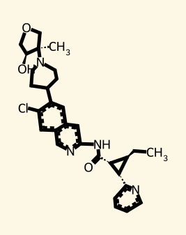 CC[C@@H]1[C@@H](C(=O)Nc2cc3cc(C4CCN([C@]5(C)COC[C@@H]5O)CC4)c(Cl)cc3cn2)[C@H]1c1ccccn1